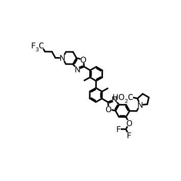 Cc1c(-c2nc3c(o2)CCN(CCCC(F)(F)F)C3)cccc1-c1cccc(-c2nc3cc(CN4CCCC4C(=O)O)c(OC(F)F)cc3o2)c1C